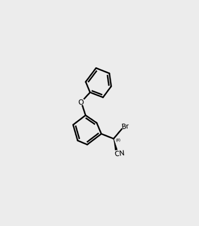 N#C[C@H](Br)c1cccc(Oc2ccccc2)c1